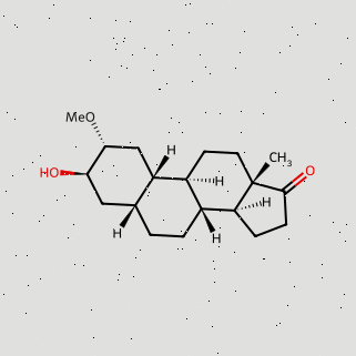 CO[C@@H]1C[C@H]2[C@H](CC[C@@H]3[C@@H]2CC[C@]2(C)C(=O)CC[C@@H]32)C[C@H]1O